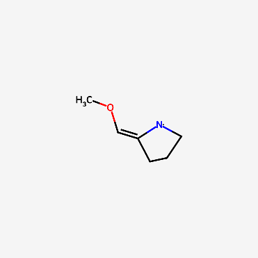 CO/C=C1/CCC[N]1